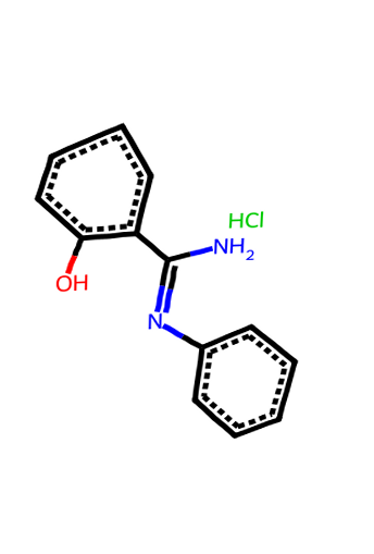 Cl.NC(=Nc1ccccc1)c1ccccc1O